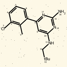 Cc1c(Cl)cccc1-c1cc(NCC(C)(C)C)nc(N)n1